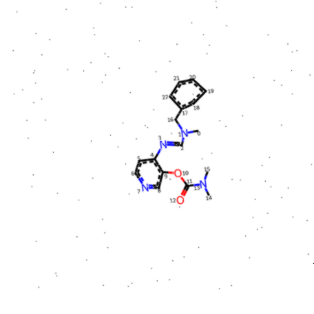 CN(/C=N/c1ccncc1OC(=O)N(C)C)Cc1ccccc1